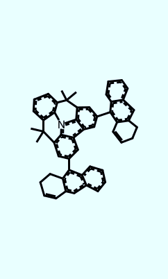 CC1(C)c2cccc3c2-n2c4c1cc(-c1c5c(cc6ccccc16)CCC=C5)cc4c1cc(-c4c5c(cc6ccccc46)C=CCC5)cc(c12)C3(C)C